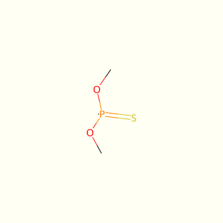 CO[P](=S)OC